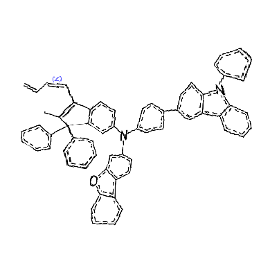 C=C/C=C\C1=C(C)C(c2ccccc2)(c2ccccc2)c2cc(N(c3ccc(-c4ccc5c(c4)c4ccccc4n5-c4ccccc4)cc3)c3ccc4c(c3)oc3ccccc34)ccc21